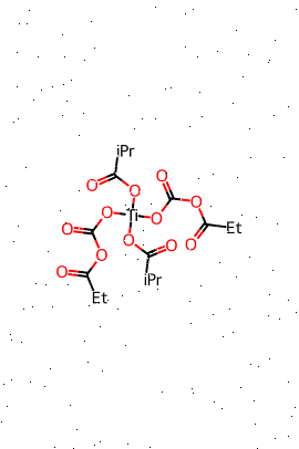 CCC(=O)OC(=O)[O][Ti]([O]C(=O)OC(=O)CC)([O]C(=O)C(C)C)[O]C(=O)C(C)C